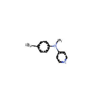 CC(C)N(c1ccncc1)c1ccc(C(C)(C)C)cc1